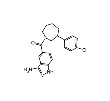 Nc1n[nH]c2ccc(C(=O)N3CCCCC(c4ccc(Cl)cc4)C3)cc12